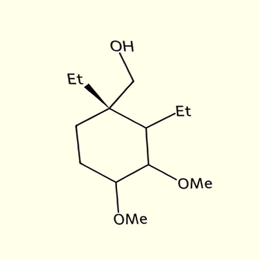 CCC1C(OC)C(OC)CC[C@]1(CC)CO